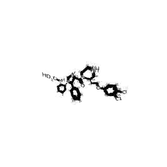 O=C(O)N[C@H]1CCCC[C@@H]1n1cnc(C(=O)N2CCNC[C@H]2CCOc2ccc(Cl)c(Cl)c2)c1-c1ccccc1